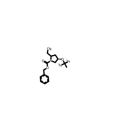 [2H]C([2H])(C)O[C@@H]1CC(CC#N)N(C(=O)OCc2ccccc2)C1